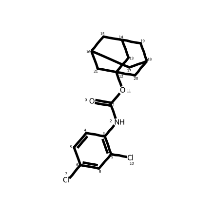 O=C(Nc1ccc(Cl)cc1Cl)OC12CC3CC(CC(C3)C1)C2